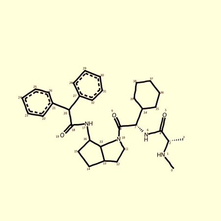 CN[C@@H](C)C(=O)N[C@H](C(=O)N1CCC2CCC(NC(=O)C(c3ccccc3)c3ccccc3)C21)C1CCCCC1